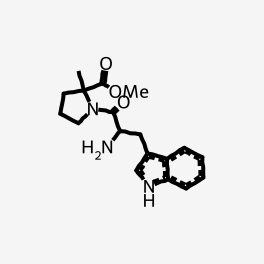 COC(=O)C1(C)CCCN1C(=O)C(N)Cc1c[nH]c2ccccc12